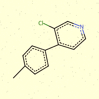 Cc1ccc(-c2ccncc2Cl)cc1